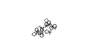 CC(C)c1c(C(=O)Nc2ccccc2)c(-c2ccccc2)c(-c2ccc(F)cc2)n1CC[C@@H]1C[C@H](CC(=O)OC(C)(C)C)OC2(CCCCC2)O1